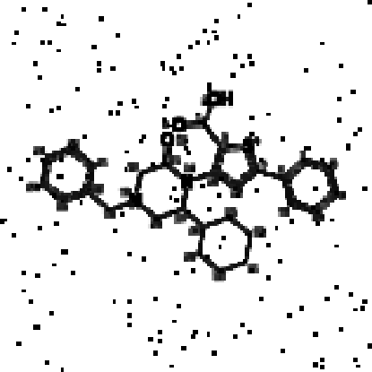 O=C(O)c1sc(-c2ccccc2)cc1N1C(=O)CN(Cc2ccccc2)CC1C1CCCCC1